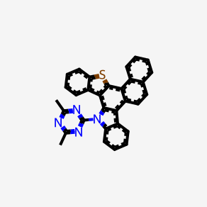 Cc1nc(C)nc(-n2c3ccccc3c3c4ccc5ccccc5c4c4sc5ccccc5c4c32)n1